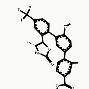 COC(=O)c1ccc(-c2ccc(OC)c(-c3ccc(C(F)(F)F)cc3C3OC(=O)N[C@@H]3C)c2)c(C)c1